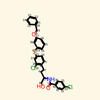 O=C(NC(CO)CCc1ccc(Sc2cccc(OCc3ccccc3)c2)cc1Cl)c1ccc(Cl)cc1